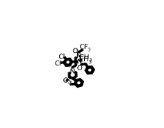 CN(CC(CCN1CCC2(CC1)c1ccccc1C[S+]2[O-])(c1ccc(Cl)c(Cl)c1)N(C)C(=O)Cc1ccccc1)C(=O)CC(F)(F)F